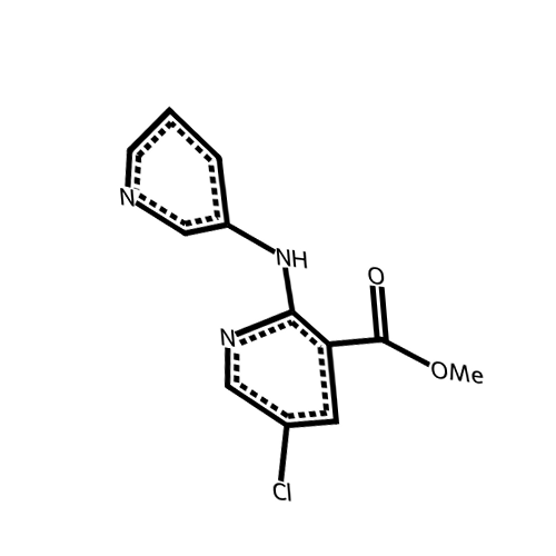 COC(=O)c1cc(Cl)cnc1Nc1cccnc1